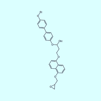 CCOc1ccc(-c2ccc(OC(O)CCOc3cccc4c(OCC5CO5)cccc34)cc2)cc1